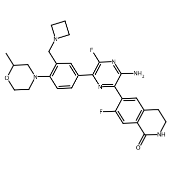 CC1CN(c2ccc(-c3nc(-c4cc5c(cc4F)C(=O)NCC5)c(N)nc3F)cc2CN2CCC2)CCO1